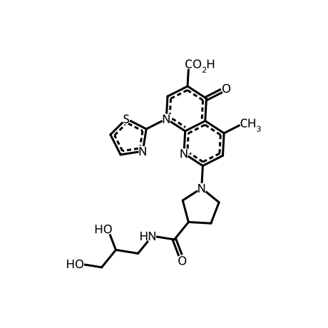 Cc1cc(N2CCC(C(=O)NCC(O)CO)C2)nc2c1c(=O)c(C(=O)O)cn2-c1nccs1